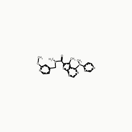 COc1cc(CN(C)C(=O)c2sc3ncnc(N(C)c4ccncn4)c3c2C)ccn1